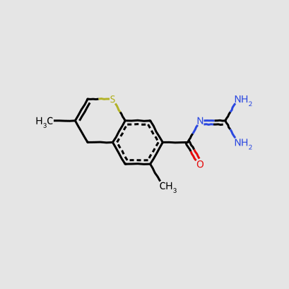 CC1=CSc2cc(C(=O)N=C(N)N)c(C)cc2C1